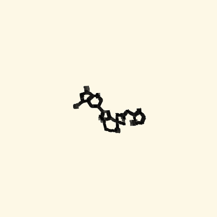 Clc1c[nH]c2ncc(-c3cc4n(n3)CCOC43CN(Cc4ncc[nH]4)C3)cc12